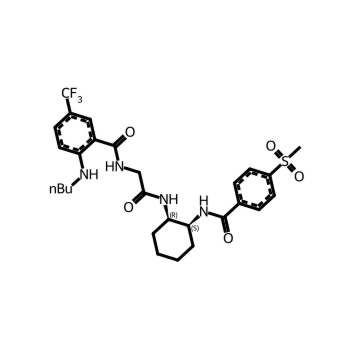 CCCCNc1ccc(C(F)(F)F)cc1C(=O)NCC(=O)N[C@@H]1CCCC[C@@H]1NC(=O)c1ccc(S(C)(=O)=O)cc1